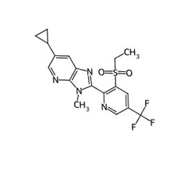 CCS(=O)(=O)c1cc(C(F)(F)F)cnc1-c1nc2cc(C3CC3)cnc2n1C